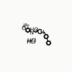 CC(C)Oc1ccc(N(C)CCC2(O)CCN(Cc3ccc(-c4ccccc4)cc3)CC2)cc1.Cl.Cl